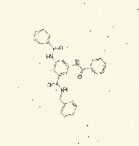 O=C(NCc1ccccc1)c1cc(NC(=O)c2ccccc2)cc(NC(=O)c2ccccc2)c1